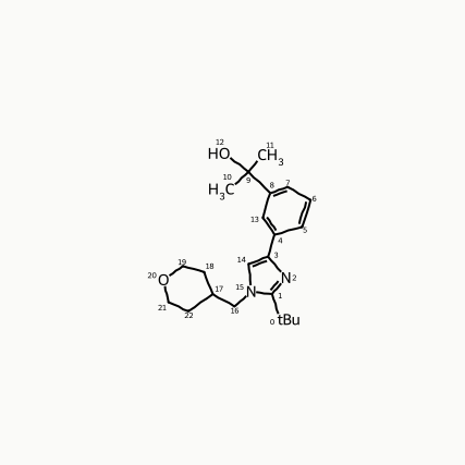 CC(C)(C)c1nc(-c2cccc(C(C)(C)O)c2)cn1CC1CCOCC1